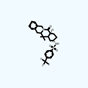 CC1(C)C2C[C@@H](NS(=O)(=O)c3ccc(C(F)(F)F)cc3)CC[C@@H]2C(=O)N2Cc3ccccc3CC21